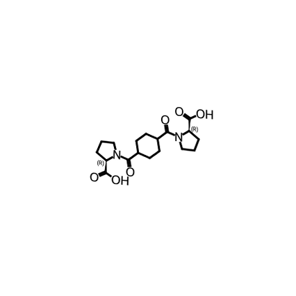 O=C(O)[C@H]1CCCN1C(=O)C1CCC(C(=O)N2CCC[C@@H]2C(=O)O)CC1